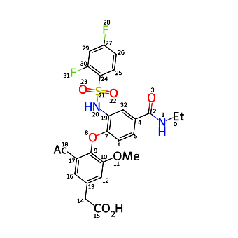 CCNC(=O)c1ccc(Oc2c(OC)cc(CC(=O)O)cc2C(C)=O)c(NS(=O)(=O)c2ccc(F)cc2F)c1